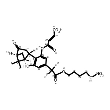 CC1(C)[C@@H]2C[C@@H]1[C@@H](c1c(O)cc(C(F)(F)C(=O)OCCCCO[N+](=O)[O-])cc1OC(=O)/C=C/C(=O)O)CC2=O